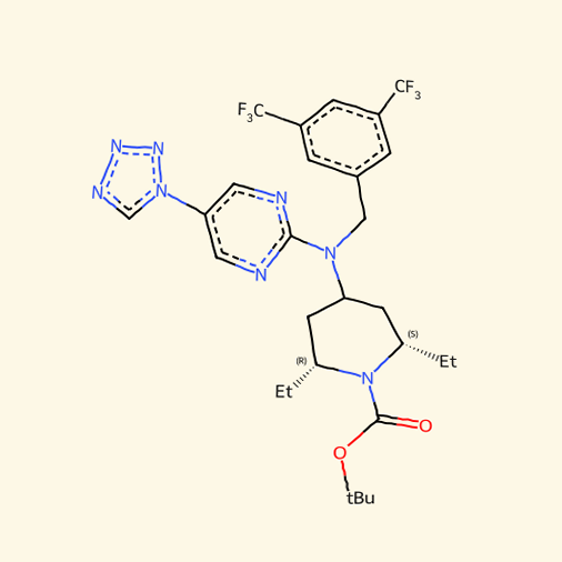 CC[C@@H]1CC(N(Cc2cc(C(F)(F)F)cc(C(F)(F)F)c2)c2ncc(-n3cnnn3)cn2)C[C@H](CC)N1C(=O)OC(C)(C)C